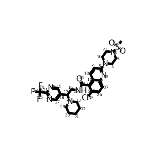 CS(=O)(=O)N1CCN(c2ccc3c(C(=O)NCC(c4cnc(C(F)(F)F)nc4)N4CCCCC4)c(Cl)ccc3n2)CC1